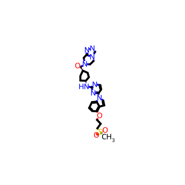 CS(=O)(=O)CCCOc1cccc2c1ccn2-c1ccnc(N[C@H]2CC[C@H](C(=O)N3CCn4cnnc4C3)CC2)n1